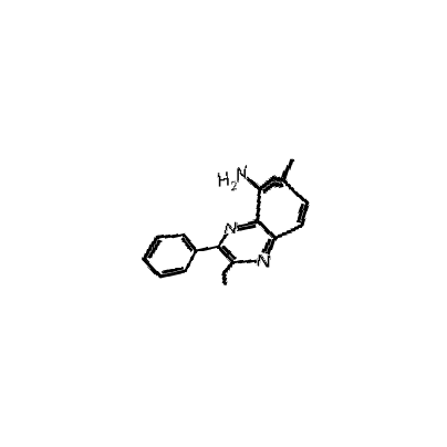 Cc1ccc2nc(C)c(-c3ccccc3)nc2c1N